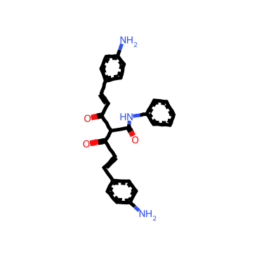 Nc1ccc(/C=C/C(=O)C(C(=O)/C=C/c2ccc(N)cc2)C(=O)Nc2ccccc2)cc1